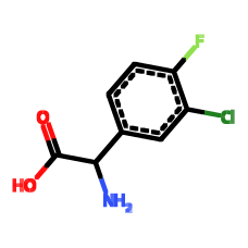 NC(C(=O)O)c1ccc(F)c(Cl)c1